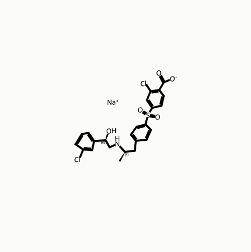 C[C@H](Cc1ccc(S(=O)(=O)c2ccc(C(=O)[O-])c(Cl)c2)cc1)NC[C@H](O)c1cccc(Cl)c1.[Na+]